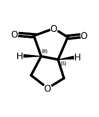 O=C1OC(=O)[C@@H]2COC[C@H]12